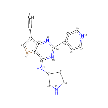 C#Cc1csc2c(NC3CCNC3)nc(-c3ccncc3)nc12